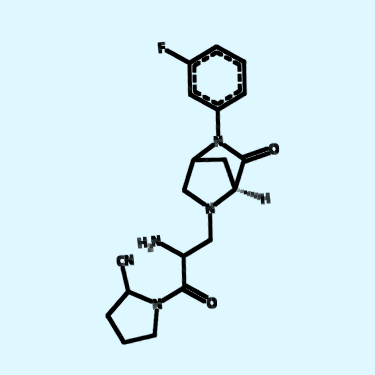 N#CC1CCCN1C(=O)C(N)CN1CC2C[C@H]1C(=O)N2c1cccc(F)c1